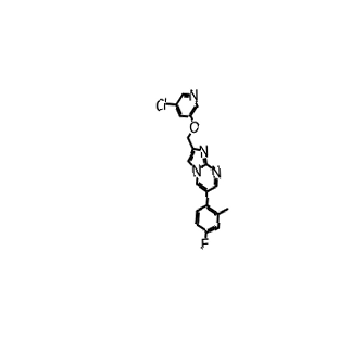 Cc1cc(F)ccc1-c1cnc2nc(COc3cncc(Cl)c3)cn2c1